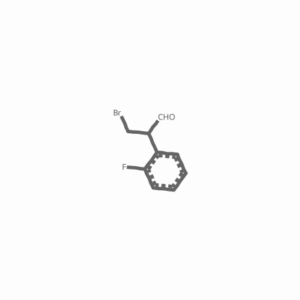 O=CC(CBr)c1ccccc1F